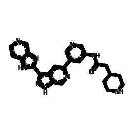 O=C(CC1CCNCC1)Nc1cncc(-c2cc3c(-c4nc5cnccc5[nH]4)n[nH]c3cn2)c1